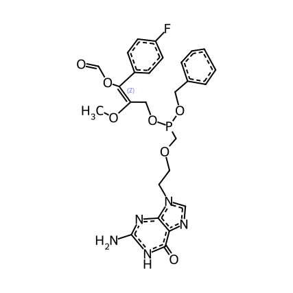 CO/C(COP(COCCn1cnc2c(=O)[nH]c(N)nc21)OCc1ccccc1)=C(\OC=O)c1ccc(F)cc1